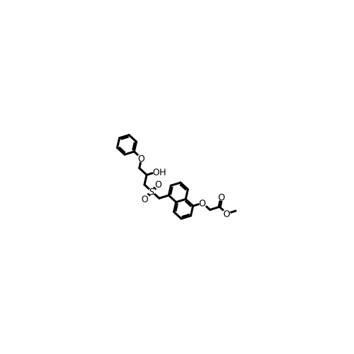 COC(=O)COc1cccc2c(CS(=O)(=O)CC(O)COc3ccccc3)cccc12